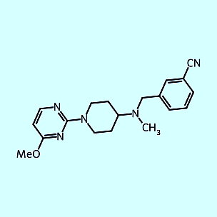 COc1ccnc(N2CCC(N(C)Cc3cccc(C#N)c3)CC2)n1